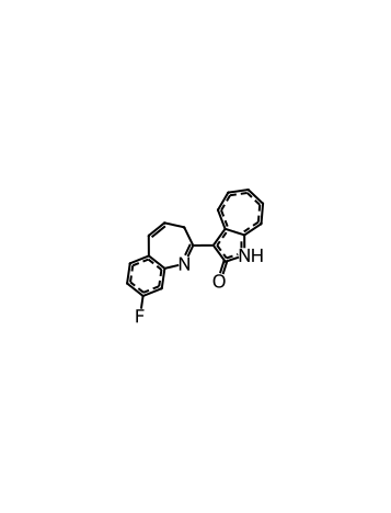 O=c1[nH]c2cccccc-2c1C1=Nc2cc(F)ccc2C=CC1